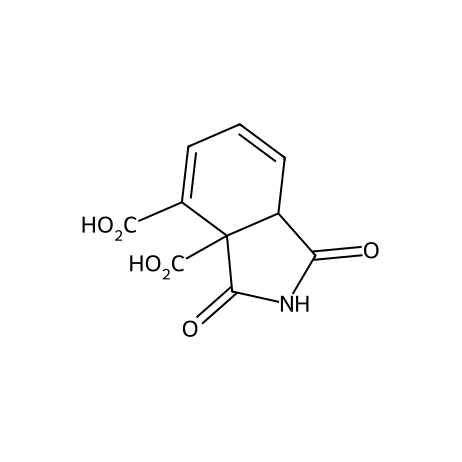 O=C(O)C1=CC=CC2C(=O)NC(=O)C12C(=O)O